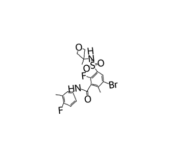 Cc1cc(NC(=O)c2c(C)c(Br)cc(S(=O)(=O)NC3(C)COC3)c2F)ccc1F